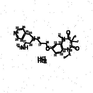 CCN1C(=O)C(C)(C)C(=O)N(C)c2cc(OCCCN(CCNC)Cc3ccncc3)ccc21.Cl.Cl